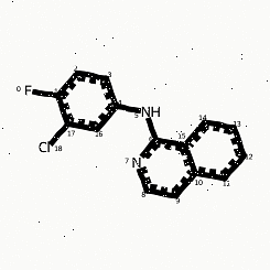 Fc1ccc(Nc2nccc3ccccc23)cc1Cl